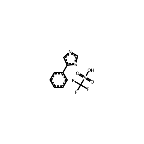 O=S(=O)(O)C(F)(F)F.c1ccc(-c2cncs2)cc1